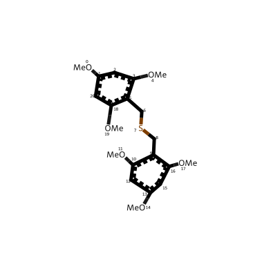 COc1cc(OC)c(CSCc2c(OC)cc(OC)cc2OC)c(OC)c1